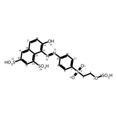 O=S(=O)(O)OCCS(=O)(=O)c1ccc(N=Nc2c(O)ccc3cc(S(=O)(=O)O)cc(S(=O)(=O)O)c23)cc1